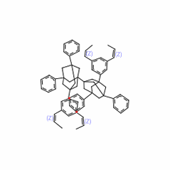 C/C=C\c1cc(/C=C\C)cc(C23CC4(c5ccccc5)CC(c5ccccc5)(C2)CC(C25CC6(c7ccccc7)CC(c7ccccc7)(CC(c7cc(/C=C\C)cc(/C=C\C)c7)(C6)C2)C5)(C4)C3)c1